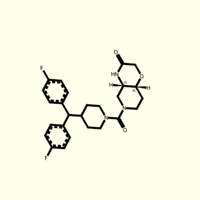 O=C1CO[C@@H]2CCN(C(=O)N3CCC(C(c4ccc(F)cc4)c4ccc(F)cc4)CC3)C[C@@H]2N1